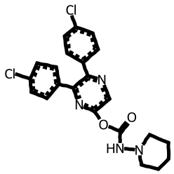 O=C(NN1CCCCC1)Oc1cnc(-c2ccc(Cl)cc2)c(-c2ccc(Cl)cc2)n1